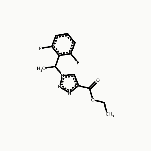 CCOC(=O)c1cn(C(C)c2c(F)cccc2F)nn1